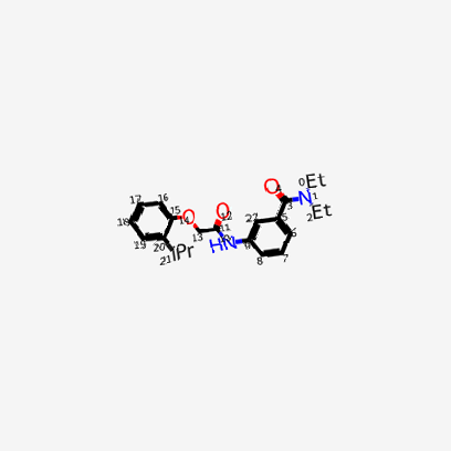 CCN(CC)C(=O)c1cccc(NC(=O)COc2ccccc2C(C)C)c1